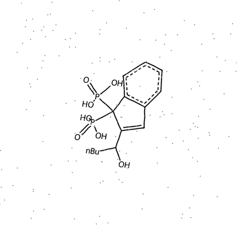 CCCCC(O)C1=Cc2ccccc2C1(P(=O)(O)O)P(=O)(O)O